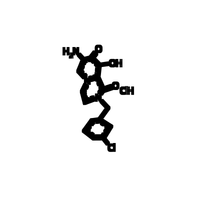 Cl.Nc1cn2ccn(Cc3cccc(Cl)c3)c(=O)c2c(O)c1=O